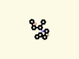 c1ccc(-c2cc(-c3cccc4c3oc3ccccc34)cc(N(c3ccc4ccccc4c3)c3cccc4sc5ccccc5c34)c2)cc1